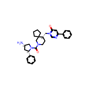 N[C@H]1C[C@@H](c2ccccc2)N(C(=O)N2CC[C@@H](Cn3cnc(-c4ccccc4)cc3=O)C3(CCCC3)C2)C1